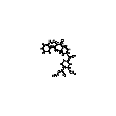 CCCOC(=O)N1CCN(C(=O)c2ccc3c(Cl)c(C)c(-c4ccccc4)nc3c2)C[C@@H]1C